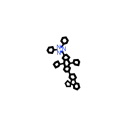 c1ccc(-c2nc(-c3ccccc3)nc(-c3ccc4c(-c5ccccc5)c5cc(-c6ccc7c(c6)C6(CCCC6)c6ccccc6-7)ccc5c(-c5ccccc5)c4c3)n2)cc1